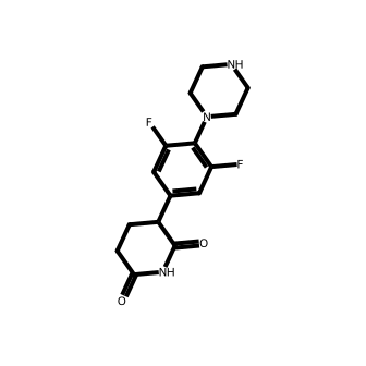 O=C1CCC(c2cc(F)c(N3CCNCC3)c(F)c2)C(=O)N1